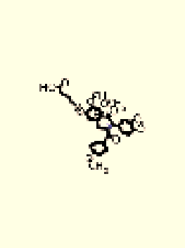 COc1ccc(C(=O)/C(Cc2cc(OC)c(OC)c(OCCCCC(=O)O)c2)=C(/C(=O)O)c2ccc3c(c2)OCO3)cc1